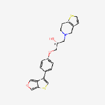 O[C@@H](COc1ccc(-c2csc3cocc23)cc1)CN1CCc2sccc2C1